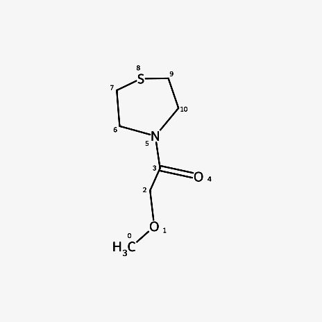 COCC(=O)N1CCSCC1